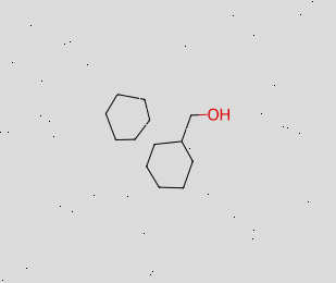 C1CCCCC1.OCC1CCCCC1